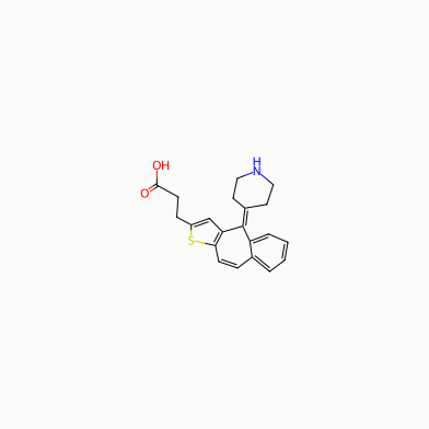 O=C(O)CCc1cc2c(s1)C=Cc1ccccc1C2=C1CCNCC1